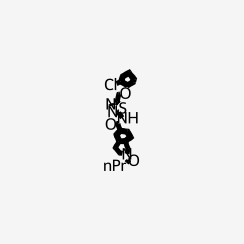 CCCC(=O)N1CCc2cc(C(=O)Nc3nnc(COc4ccccc4Cl)s3)ccc2C1